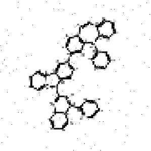 C1=CC2N=C(n3c4ccccc4c4cc(-c5ccc6c(c5)N(c5ccccc5)c5ccccc5C=C6)ccc43)N=C(c3ccccc3)C2C=C1